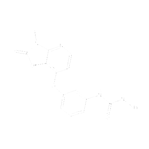 CC(C)NC(=O)Nc1cccc(Oc2ccnc3c2oc(=O)n3C)c1